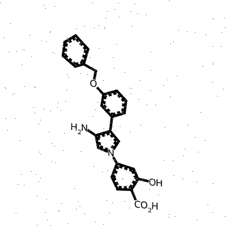 Nc1cn(-c2ccc(C(=O)O)c(O)c2)cc1-c1cccc(OCc2ccccc2)c1